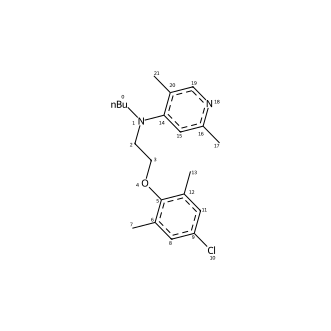 CCCCN(CCOc1c(C)cc(Cl)cc1C)c1cc(C)ncc1C